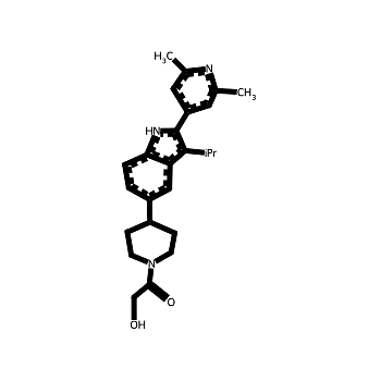 Cc1cc(-c2[nH]c3ccc(C4CCN(C(=O)CO)CC4)cc3c2C(C)C)cc(C)n1